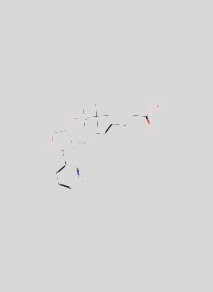 CC(C)(C)[Si](C)(C)O[C@@H]1CO[C@H](c2cccnc2)[C@@H]1CCC=CCCC(=O)O